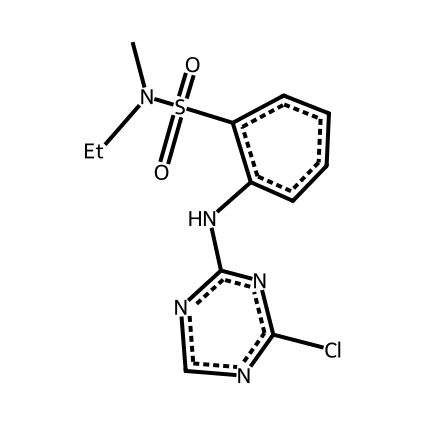 CCN(C)S(=O)(=O)c1ccccc1Nc1ncnc(Cl)n1